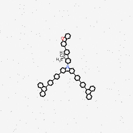 C[Si]1(C)c2cc(-c3ccc4oc5ccccc5c4c3)ccc2-c2ccc(-n3c4ccc(-c5ccc(-c6ccc(-c7cc8ccccc8c8ccccc78)cc6)cc5)cc4c4cc(-c5ccc(-c6ccc(-c7cc8ccccc8c8ccccc78)cc6)cc5)ccc43)cc21